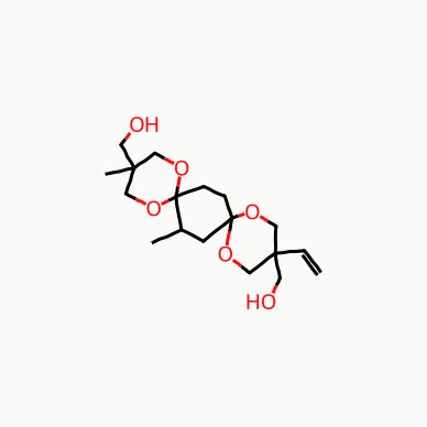 C=CC1(CO)COC2(CCC3(OCC(C)(CO)CO3)C(C)C2)OC1